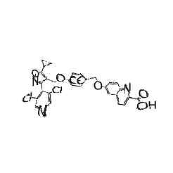 O=C(O)c1ccc2cc(OCC34CCC(OCc5c(-c6c(Cl)cncc6Cl)noc5C5CC5)(CC3)CC4)ccc2n1